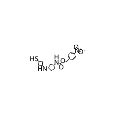 O=C(N[C@@H]1CC[C@H](NC2CC(S)C2)C1)OCc1ccc([N+](=O)[O-])cc1